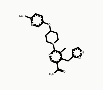 COc1ccc(OC2CCN(c3nnc(C(N)=O)c(Cc4ccn[nH]4)c3C)CC2)cn1